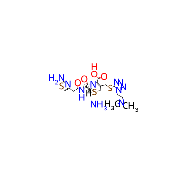 CN(C)CCn1nnnc1SCC1=C(C(=O)O)N2C(=O)[C@@H](NC(=O)Cc3csc(N)n3)[C@H]2SC1.N